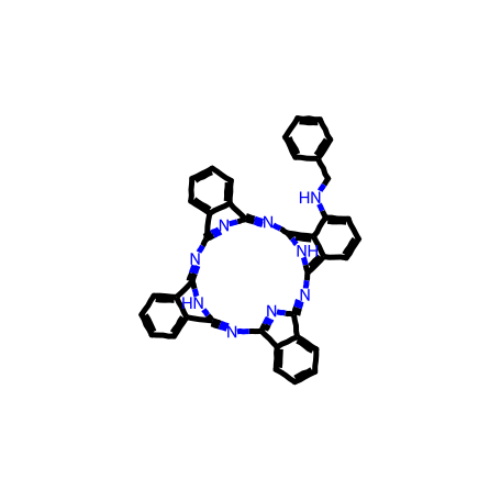 c1ccc(CNc2cccc3c4nc5nc(nc6[nH]c(nc7nc(nc([nH]4)c23)-c2ccccc2-7)c2ccccc62)-c2ccccc2-5)cc1